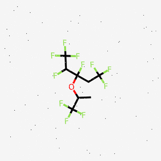 CC(OC(F)(CC(F)(F)F)C(F)C(F)(F)F)C(F)(F)F